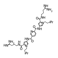 CC(C)CCn1cc(NC(=O)c2ccc(C(=O)Nc3cc(C(=O)NCCCC(=N)N)n(CCC(C)C)c3)nc2)cc1C(=O)NCCCC(=N)N